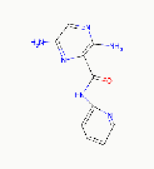 Nc1cnc(N)c(C(=O)Nc2ccccn2)n1